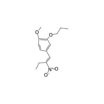 CCCOc1cc(/C=C(\CC)[N+](=O)[O-])ccc1OC